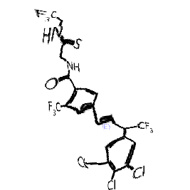 O=C(NCC(=S)NCC(F)(F)F)c1ccc(/C=C/C(c2cc(Cl)c(Cl)c(Cl)c2)C(F)(F)F)cc1C(F)(F)F